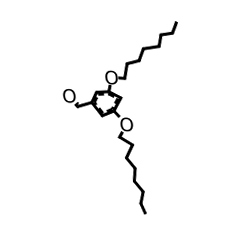 CCCCCCCCOc1cc(C=O)cc(OCCCCCCCC)c1